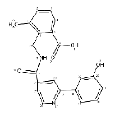 Cc1cccc(C(=O)O)c1CNC(=O)c1ccnc(-c2cccc(O)c2)c1